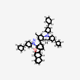 Cc1cc(-c2ccc3c(oc4cc5ccccc5cc43)c2Nc2ccc(-c3ccccc3)cc2)c2c(c1)N(c1ccc(-c3ccccc3)cc1)c1ccc(-c3ccccc3)cc1B2